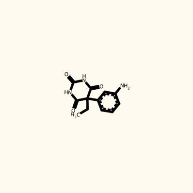 CCC1(c2cccc(N)c2)C(=O)NC(=O)NC1=O